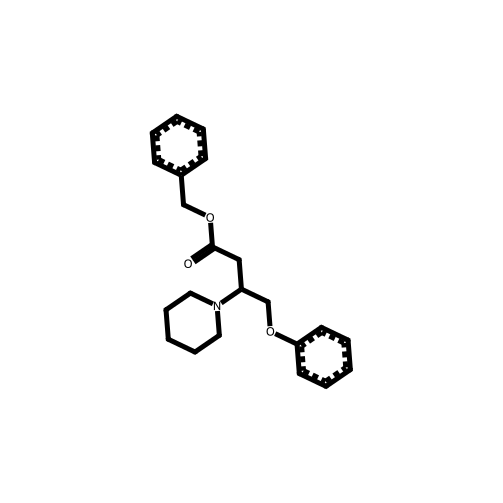 O=C(CC(COc1ccccc1)N1CCCCC1)OCc1ccccc1